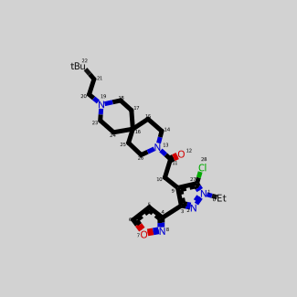 CCn1nc(-c2ccon2)c(CC(=O)N2CCC3(CCN(CCC(C)(C)C)CC3)CC2)c1Cl